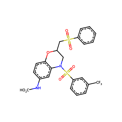 O=C(O)Nc1ccc2c(c1)N(S(=O)(=O)c1cccc(C(F)(F)F)c1)CC(CS(=O)(=O)c1ccccc1)O2